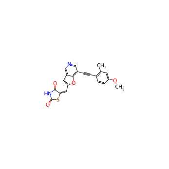 COc1ccc(C#Cc2cncc3cc(/C=C4/SC(=O)NC4=O)oc23)c(C)c1